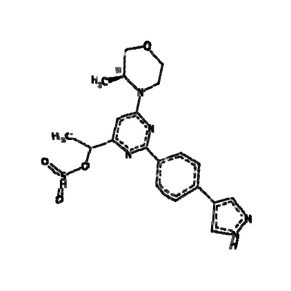 CC(O[SH](=O)=O)c1cc(N2CCOC[C@@H]2C)nc(-c2ccc(-c3cn[nH]c3)cc2)n1